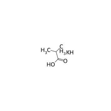 CC(C)C(=O)O.[KH]